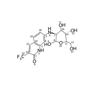 O=c1[nH]c2cc(N[C@@H]3C(O)OC(CO)[C@@H](O)C3O)ccc2cc1C(F)(F)F